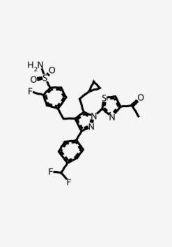 CC(=O)c1csc(-n2nc(-c3ccc(C(F)F)cc3)c(Cc3ccc(S(N)(=O)=O)c(F)c3)c2CC2CC2)n1